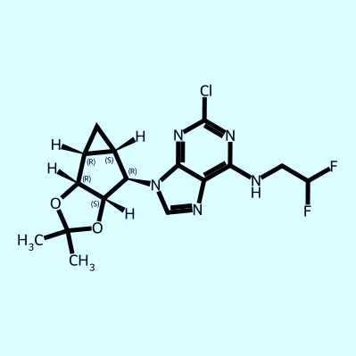 CC1(C)O[C@@H]2[C@@H]3C[C@@H]3[C@@H](n3cnc4c(NCC(F)F)nc(Cl)nc43)[C@@H]2O1